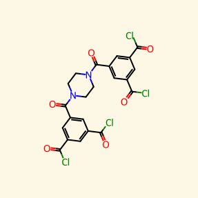 O=C(Cl)c1cc(C(=O)Cl)cc(C(=O)N2CCN(C(=O)c3cc(C(=O)Cl)cc(C(=O)Cl)c3)CC2)c1